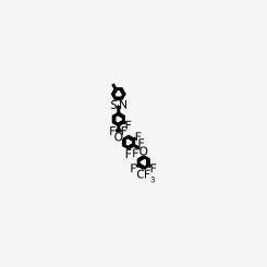 Cc1ccc2nc(-c3ccc(C(F)(F)Oc4cc(F)c(C(F)(F)Oc5cc(F)c(C(F)(F)F)c(F)c5)c(F)c4)c(F)c3)sc2c1